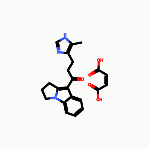 Cc1[nH]cnc1CCC(=O)c1c2n(c3ccccc13)CCC2.O=C(O)/C=C\C(=O)O